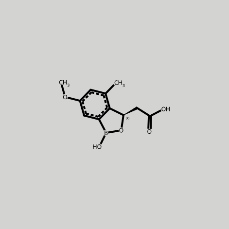 COc1cc(C)c2c(c1)B(O)O[C@@H]2CC(=O)O